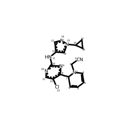 N#CCN1C=CC=CC1c1nc(Nc2cnn(C3CC3)c2)ncc1Cl